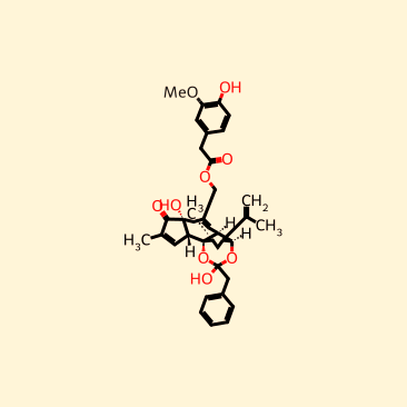 C=C(C)C1C[C@@H](C)[C@@]23OC(O)(Cc4ccccc4)O[C@@H]1[C@@H]2C=C(COC(=O)Cc1ccc(O)c(OC)c1)C[C@]1(O)C(=O)C(C)=C[C@@H]31